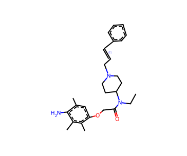 CCN(C(=O)COc1cc(C)c(N)c(C)c1C)C1CCN(C/C=C/c2ccccc2)CC1